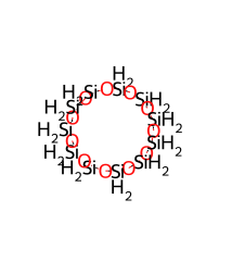 O1[SiH2]O[SiH2]O[SiH2]O[SiH2]O[SiH2]O[SiH2]O[SiH2]O[SiH2]O[SiH2]O[SiH2]O[SiH2]1